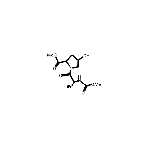 COC(=O)N[C@H](C(=O)N1CC(O)CC1C(=O)OC)C(C)C